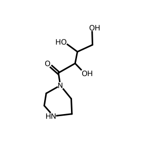 O=C(C(O)C(O)CO)N1CCNCC1